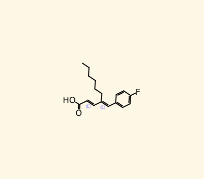 CCCCCCC(/C=C/C(=O)O)=C\c1ccc(F)cc1